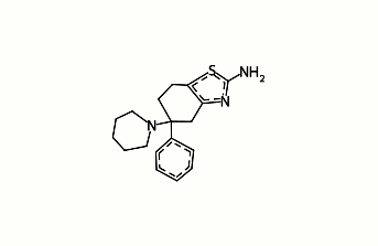 Nc1nc2c(s1)CCC(c1ccccc1)(N1CCCCC1)C2